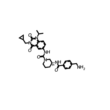 CC(C)n1c(=O)n(CC2CC2)c(=O)c2cc(NC(=O)N3CCC[C@@H](NC(=O)c4ccc(CN)cc4)C3)ccc21